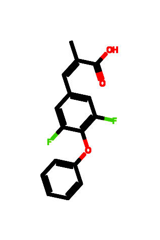 CC(=Cc1cc(F)c(Oc2ccccc2)c(F)c1)C(=O)O